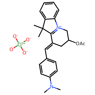 CC(=O)OC1CC(=Cc2ccc(N(C)C)cc2)C2=[N+](C1)c1ccccc1C2(C)C.[O-][Cl+3]([O-])([O-])[O-]